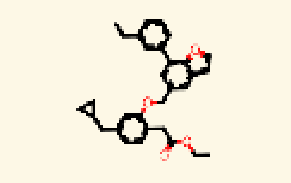 CCOC(=O)Cc1ccc(CC2CC2)cc1OCc1cc(-c2cccc(CC)c2)c2occc2c1